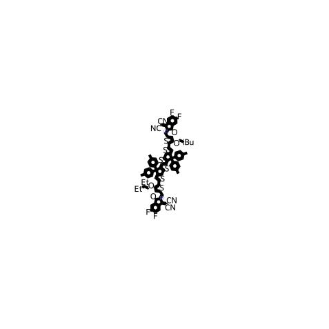 CCC(C)COc1cc(/C=C2\C(=O)c3cc(F)c(F)cc3C2=C(C#N)C#N)sc1-c1cc2c(s1)-c1sc3c4c(sc3c1C2(c1ccc(C)cc1)c1ccc(C)cc1)-c1sc(-c2sc(/C=C3\C(=O)c5cc(F)c(F)cc5C3=C(C#N)C#N)cc2OCC(CC)CC)cc1C4(c1ccc(C)cc1)c1ccc(C)cc1